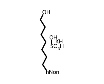 CCCCCCCCCCCCCCCCO.O=S(=O)(O)O.[KH]